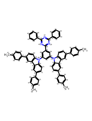 Cc1ccc(-c2ccc3c(c2)c2cc(-c4ccc(C)cc4)ccc2n3-c2cc(-c3nc(-c4ccccc4)nc(-c4ccccc4)n3)cc(-n3c4ccc(-c5ccc(C)cc5)cc4c4cc(-c5ccc(C)cc5)ccc43)c2)cc1